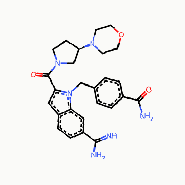 N=C(N)c1ccc2cc(C(=O)N3CC[C@@H](N4CCOCC4)C3)n(Cc3ccc(C(N)=O)cc3)c2c1